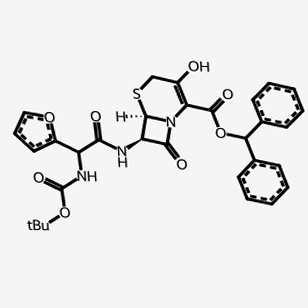 CC(C)(C)OC(=O)NC(C(=O)N[C@@H]1C(=O)N2C(C(=O)OC(c3ccccc3)c3ccccc3)=C(O)CS[C@H]12)c1ccco1